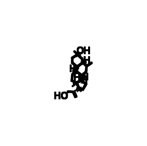 C=C(CO)[C@H]1CC[C@H]2[C@@H]3CC(C)[C@@H]4C[C@@](C)(O)CC[C@@H]4[C@H]3CC[C@]12C